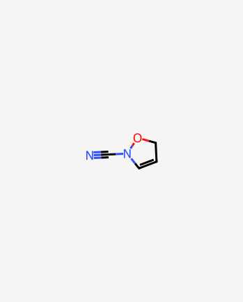 N#CN1C=CCO1